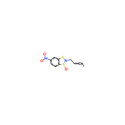 C=CCN1Sc2cc([N+](=O)[O-])ccc2[S+]1[O-]